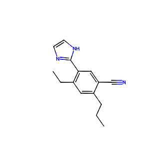 CCCc1cc(CC)c(-c2ncc[nH]2)cc1C#N